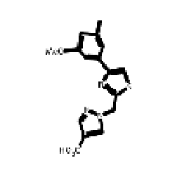 COc1cc(C)cc(-c2csc(Cn3cc(C(=O)O)cn3)n2)c1